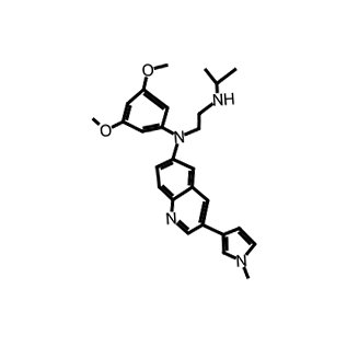 COc1cc(OC)cc(N(CCNC(C)C)c2ccc3ncc(-c4ccn(C)c4)cc3c2)c1